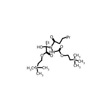 CC[C@@](O)(C(=O)OCC[Si](C)(C)C)N(NC(=O)OCC[Si](C)(C)C)C(=O)CCC(C)C